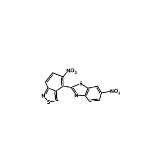 O=[N+]([O-])c1ccc2nc(-c3c([N+](=O)[O-])ccc4ns[c]c34)sc2c1